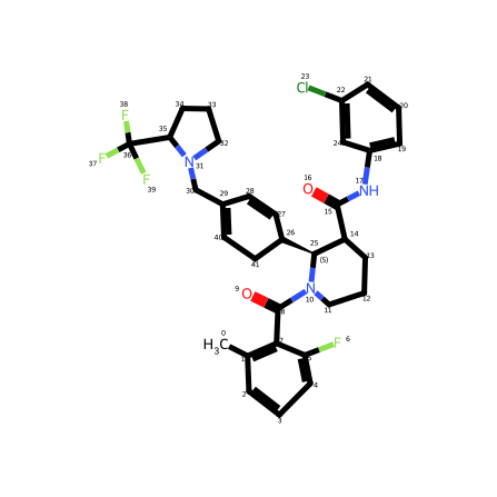 Cc1cccc(F)c1C(=O)N1CCCC(C(=O)Nc2cccc(Cl)c2)[C@@H]1C1C=CC(CN2CCCC2C(F)(F)F)=CC1